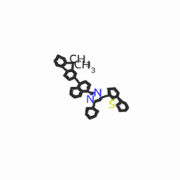 CC1(C)c2ccccc2-c2ccc(-c3ccc(-c4nc(-c5ccccc5)cc(-c5cccc6c5sc5ccccc56)n4)c4ccccc34)cc21